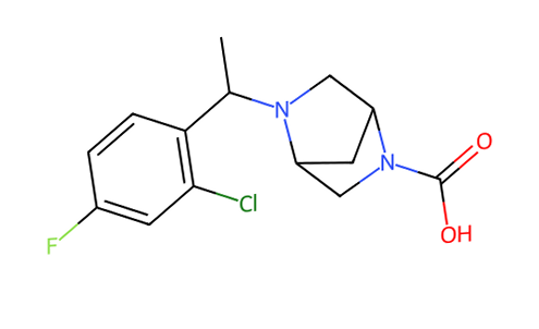 CC(c1ccc(F)cc1Cl)N1CC2CC1CN2C(=O)O